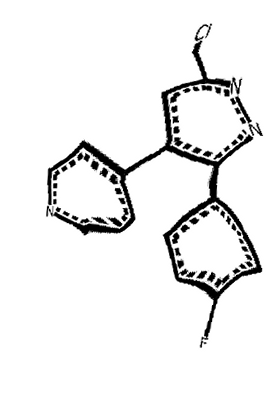 Fc1ccc(-c2nnc(Cl)cc2-c2ccncc2)cc1